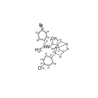 CC(NC(C)C12CC3CC(CC(c4ccc(Cl)cc4)(C3)C1)C2)c1ccc(Br)cc1